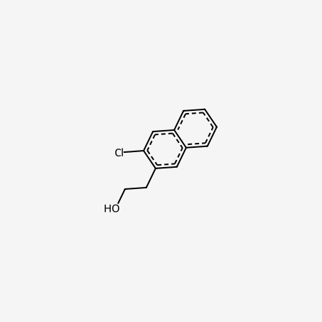 OCCc1cc2ccccc2cc1Cl